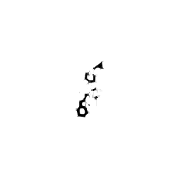 O=C(c1cc2ccccc2[nH]1)N1CCOCC1OC1CCN(CC2CC2)CC1